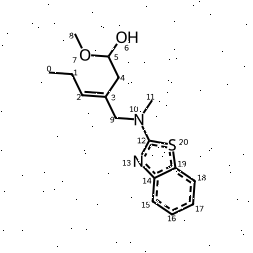 CC/C=C(\CC(O)OC)CN(C)c1nc2ccccc2s1